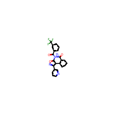 NC(=O)c1ccccc1-c1c(-c2cccnc2)noc1NC(=O)c1cccc(C(F)(F)F)c1